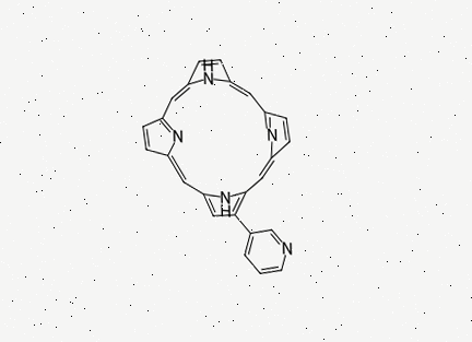 C1=Cc2cc3cc(-c4cccnc4)c(cc4nc(cc5ccc(cc1n2)[nH]5)C=C4)[nH]3